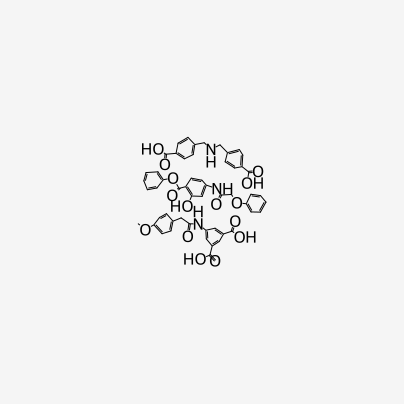 COc1ccc(CC(=O)Nc2cc(C(=O)O)cc(C(=O)O)c2)cc1.O=C(COc1ccccc1)Nc1ccc(C(=O)Oc2ccccc2)c(O)c1.O=C(O)c1ccc(CNCc2ccc(C(=O)O)cc2)cc1